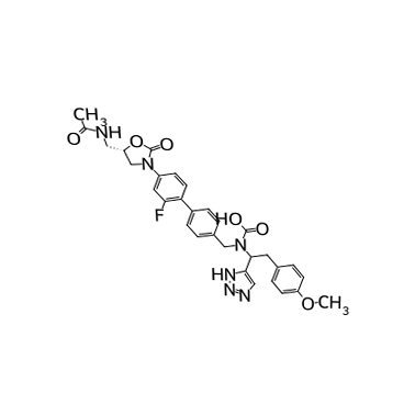 COc1ccc(CC(c2cnn[nH]2)N(Cc2ccc(-c3ccc(N4C[C@H](CNC(C)=O)OC4=O)cc3F)cc2)C(=O)O)cc1